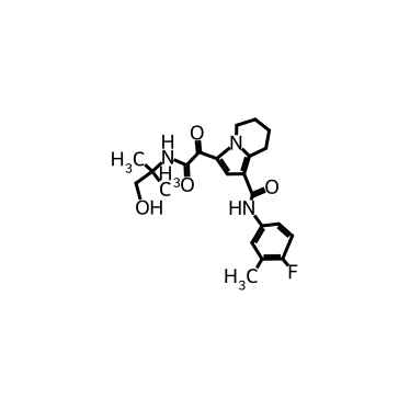 Cc1cc(NC(=O)c2cc(C(=O)C(=O)NC(C)(C)CO)n3c2CCCC3)ccc1F